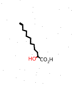 C=CCCCCCCCCC(O)C(=O)O